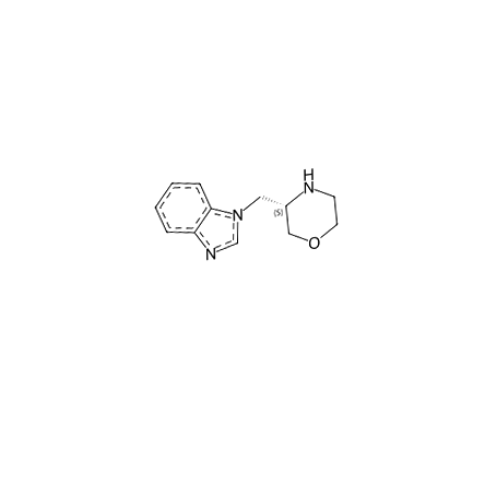 c1ccc2c(c1)ncn2C[C@H]1COCCN1